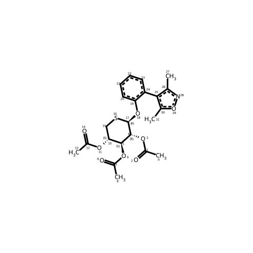 CC(=O)O[C@@H]1[C@@H](OC(C)=O)[C@H](OC(C)=O)CS[C@H]1Oc1ccccc1-c1c(C)noc1C